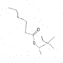 CCCCCC(=O)OC(C)C(C)(C)C